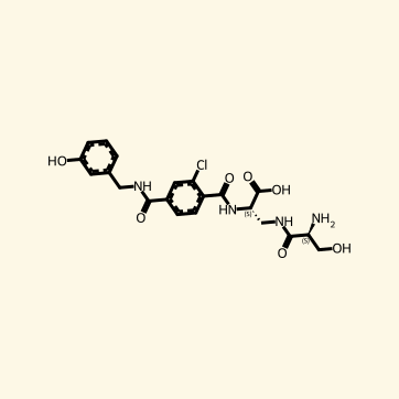 N[C@@H](CO)C(=O)NC[C@H](NC(=O)c1ccc(C(=O)NCc2cccc(O)c2)cc1Cl)C(=O)O